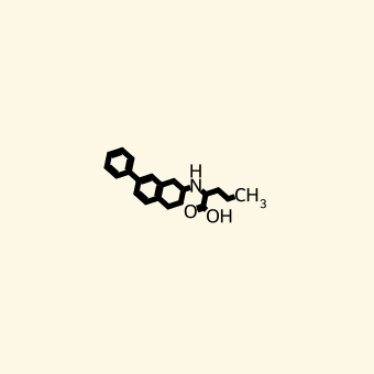 CCCC(NC1CCc2ccc(-c3ccccc3)cc2C1)C(=O)O